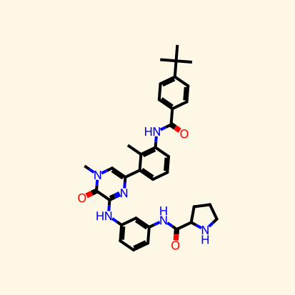 Cc1c(NC(=O)c2ccc(C(C)(C)C)cc2)cccc1-c1cn(C)c(=O)c(Nc2cccc(NC(=O)C3CCCN3)c2)n1